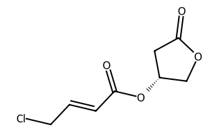 O=C(/C=C/CCl)O[C@H]1COC(=O)C1